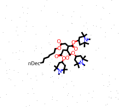 CCCCCCCCCCCCCCCCOC(=O)CC(C(=O)OC1CC(C)(C)N(C)C(C)(C)C1)C(CC(=O)OC1CC(C)(C)N(C)C(C)(C)C1)C(=O)OC1CC(C)(C)N(C)C(C)(C)C1